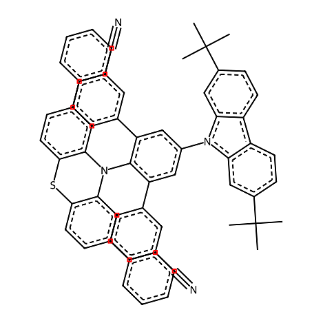 CC(C)(C)c1ccc2c3ccc(C(C)(C)C)cc3n(-c3cc(-c4cccc(C#N)c4)c(N4c5cc(-c6ccccc6)ccc5Sc5ccc(-c6ccccc6)cc54)c(-c4cccc(C#N)c4)c3)c2c1